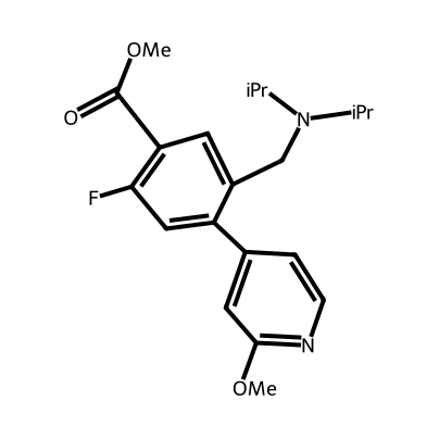 COC(=O)c1cc(CN(C(C)C)C(C)C)c(-c2ccnc(OC)c2)cc1F